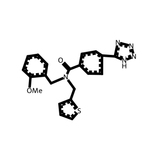 COc1ccccc1CN(Cc1cccs1)C(=O)c1ccc(-c2nnn[nH]2)cc1